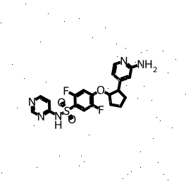 Nc1cc(C2CCCC2Oc2cc(F)c(S(=O)(=O)Nc3ccncn3)cc2F)ccn1